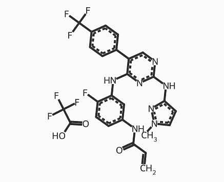 C=CC(=O)Nc1ccc(F)c(Nc2nc(Nc3ccn(C)n3)ncc2-c2ccc(C(F)(F)F)cc2)c1.O=C(O)C(F)(F)F